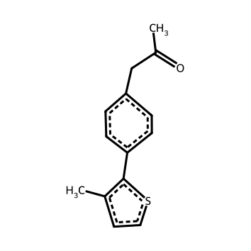 CC(=O)Cc1ccc(-c2sccc2C)cc1